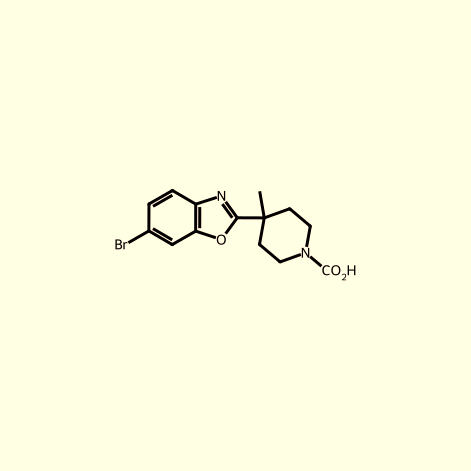 CC1(c2nc3ccc(Br)cc3o2)CCN(C(=O)O)CC1